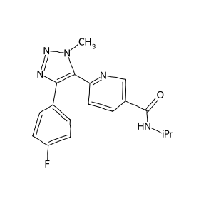 CC(C)NC(=O)c1ccc(-c2c(-c3ccc(F)cc3)nnn2C)nc1